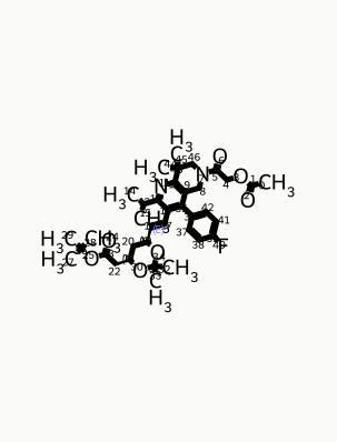 CC(=O)OCC(=O)N1Cc2c(nc(C(C)C)c(/C=C/[C@@H]3C[C@H](CC(=O)OC(C)(C)C)OC(C)(C)O3)c2-c2ccc(F)cc2)C(C)(C)C1